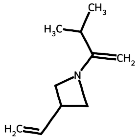 C=CC1CN(C(=C)C(C)C)C1